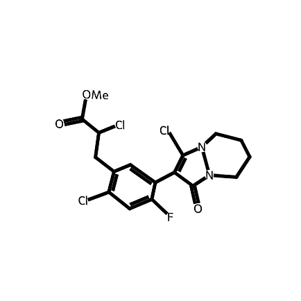 COC(=O)C(Cl)Cc1cc(-c2c(Cl)n3n(c2=O)CCCC3)c(F)cc1Cl